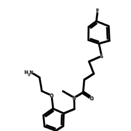 CN(Cc1ccccc1OCCN)C(=O)CCCSc1ccc(F)cc1